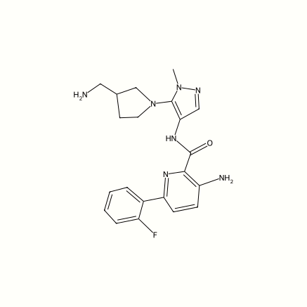 Cn1ncc(NC(=O)c2nc(-c3ccccc3F)ccc2N)c1N1CCC(CN)C1